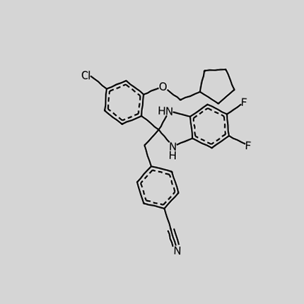 N#Cc1ccc(CC2(c3ccc(Cl)cc3OCC3CCCC3)Nc3cc(F)c(F)cc3N2)cc1